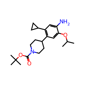 CC(C)Oc1cc(C2CCN(C(=O)OC(C)(C)C)CC2)c(C2CC2)cc1N